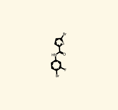 O=C(Nc1ccc(Br)c(F)c1)c1ccc(Br)s1